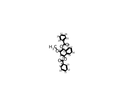 COc1cc(OC(=O)c2ccccc2)c2ccccc2c1OC(=O)c1ccccc1